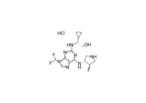 Cl.OC[C@H](Nc1nc(N[C@@H]2CNC[C@H]2F)c2ncn(C(F)F)c2n1)C1CC1